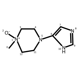 C[N+]1([O-])CCN(c2cnc[nH]2)CC1